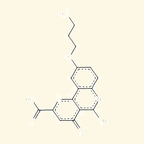 CCCCOc1ccc2nc(O)c3c(=O)cc(C(=O)O)oc3c2c1